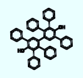 Oc1c(-c2ccccc2)cc(-c2cc(-c3ccccc3)c(O)c(-c3ccccc3)c2-c2ccccc2)c(-c2ccccc2)c1-c1ccccc1